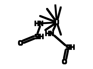 [CH3][U]([CH3])([CH3])([CH3])([CH3])([CH3])([NH][SiH]=O)[NH][SiH]=O